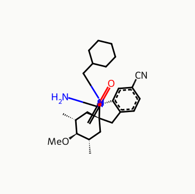 CO[C@H]1[C@H](C)C[C@@]2(Cc3ccc(C#N)cc3[C@]23N=C(N)N(CC2CCCCC2)C3=O)C[C@@H]1C